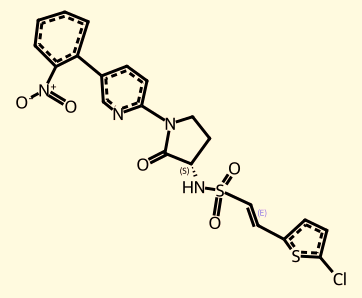 O=C1[C@@H](NS(=O)(=O)/C=C/c2ccc(Cl)s2)CCN1c1ccc(-c2ccccc2[N+](=O)[O-])cn1